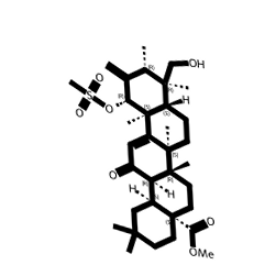 C=C1[C@@H](OS(C)(=O)=O)[C@]2(C)C3=CC(=O)[C@@H]4[C@@H]5CC(C)(C)CC[C@]5(C(=O)OC)CC[C@@]4(C)[C@]3(C)CC[C@H]2[C@](C)(CO)[C@H]1C